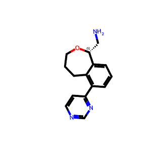 NC[C@H]1OCCCc2c(-c3ccncn3)cccc21